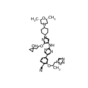 C[C@@H]1CN(C2CCC(n3cc(Nc4ncc(-c5ccc(C#N)c(O[C@@H](C)Cn6cnnn6)c5)cn4)c(OCCC4(O)CC4)n3)CC2)C[C@H](C)O1